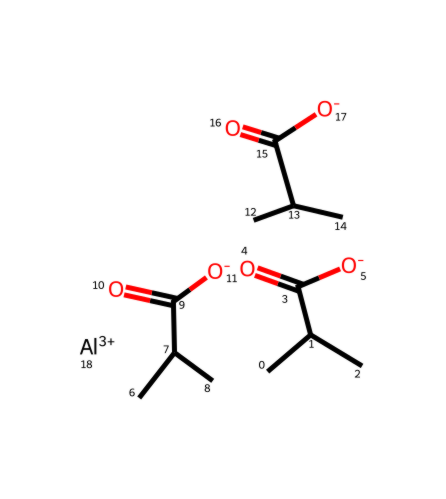 CC(C)C(=O)[O-].CC(C)C(=O)[O-].CC(C)C(=O)[O-].[Al+3]